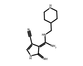 N#CC1=CNC(=N)/C1=C(\N)NCC1CCNCC1